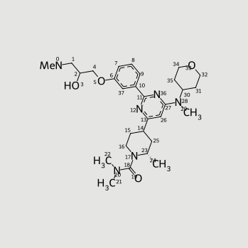 CNCC(O)COc1cccc(-c2nc(C3CCN(C(=O)N(C)C)[C@@H](C)C3)cc(N(C)C3CCOCC3)n2)c1